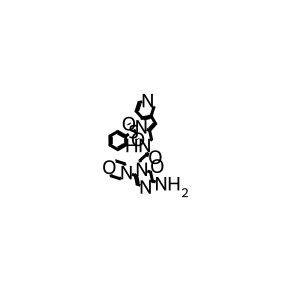 Nc1ncc(N2CCOCC2)n(CC(=O)NCc2cc3cnccc3n2S(=O)(=O)c2ccccc2)c1=O